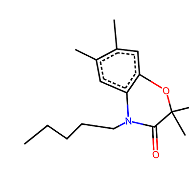 CCCCCN1C(=O)C(C)(C)Oc2cc(C)c(C)cc21